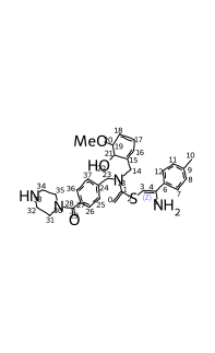 C=C(S/C=C(\N)c1ccc(C)cc1)N(CC1=CC=CC(OC)C1O)Cc1ccc(C(=O)N2CCNCC2)cc1